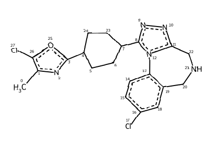 Cc1nc(C2CCC(c3nnc4n3-c3ccc(Cl)cc3CNC4)CC2)oc1Cl